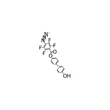 [N-]=[N+]=Nc1c(F)c(F)c(C(=O)Oc2ccc(-c3ccc(O)cc3)cc2)c(F)c1F